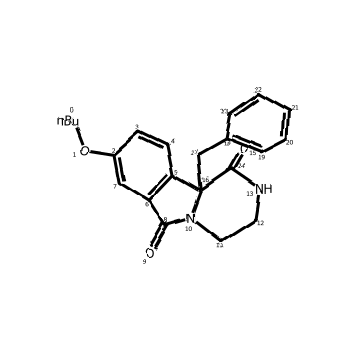 CCCCOc1ccc2c(c1)C(=O)N1CCNC(=O)C21Cc1ccccc1